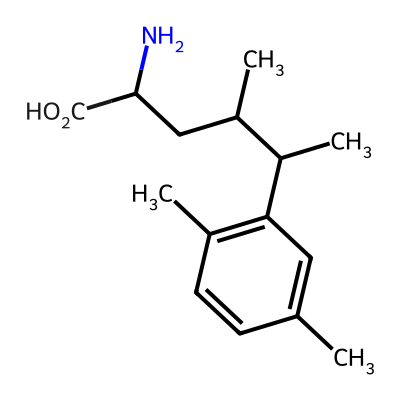 Cc1ccc(C)c(C(C)C(C)CC(N)C(=O)O)c1